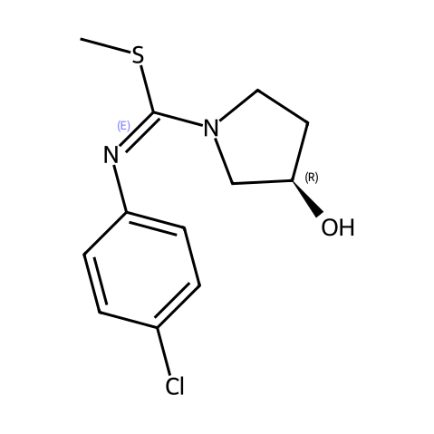 CS/C(=N/c1ccc(Cl)cc1)N1CC[C@@H](O)C1